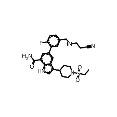 CCS(=O)(=O)N1CCC(c2c[nH]c3c(C(N)=O)cc(-c4cc(CNCCC#N)ccc4F)cc23)CC1